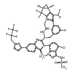 Cn1nc(NS(C)(=O)=O)c2c(Cl)ccc(-n3c([C@H](Cc4cc(F)cc(F)c4)NC(=O)Cn4nc(C(F)F)c5c4C(F)(F)[C@@H]4C[C@H]54)nc4cc(-c5ccn(CC(F)(F)C(F)(F)F)n5)ccc4c3=O)c21